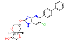 O[C@@H]1CO[C@H]2C[C@@H](Oc3nc4nc(-c5ccc(-c6ccccc6)cc5)c(Cl)cc4[nH]3)CO[C@@H]12